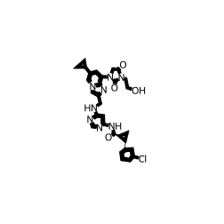 O=C(Nc1cc(NCc2cn3cc(C4CC4)cc(N4CC(=O)N(CCO)C4=O)c3n2)ncn1)[C@H]1C[C@@H]1c1cccc(Cl)c1